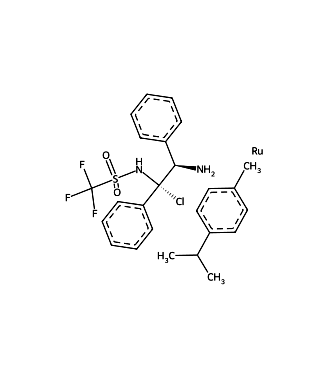 Cc1ccc(C(C)C)cc1.N[C@H](c1ccccc1)[C@](Cl)(NS(=O)(=O)C(F)(F)F)c1ccccc1.[Ru]